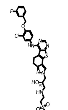 CS(=O)(=O)CCNC[C@@H](O)Cn1cc2c(n1)CCc1c-2sc2ncnc(Nc3ccc(OCc4cccc(F)c4)c(Cl)c3)c12